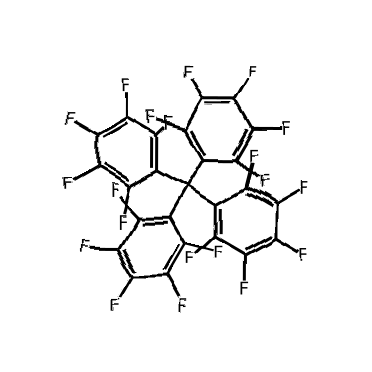 Fc1c(F)c(F)c(C(c2c(F)c(F)c(F)c(F)c2F)(c2c(F)c(F)c(F)c(F)c2F)c2c(F)c(F)c(F)c(F)c2F)c(F)c1F